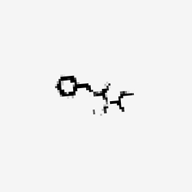 CCC(C)N(N)C(=O)OCc1ccccc1